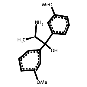 COc1cccc(C(O)(c2cccc(OC)c2)[C@@H](C)N)c1